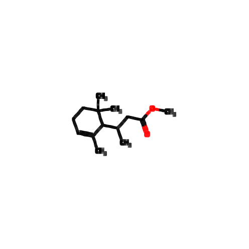 COC(=O)CC(C)C1C(C)=CCCC1(C)C